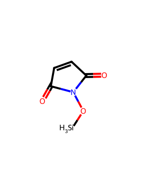 O=C1C=CC(=O)N1O[SiH3]